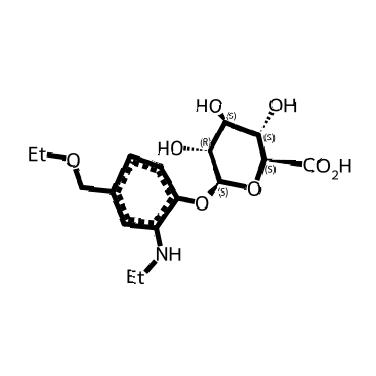 CCNc1cc(COCC)ccc1O[C@@H]1O[C@H](C(=O)O)[C@@H](O)[C@H](O)[C@H]1O